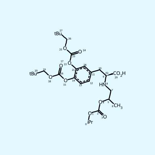 CC(C)OC(=O)OC(C)CN[C@@H](Cc1ccc(OC(=O)OCC(C)(C)C)c(OC(=O)OCC(C)(C)C)c1)C(=O)O